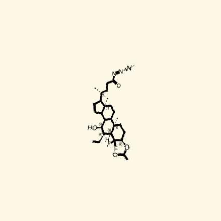 CC[C@@H]1[C@@H]2C(F)(F)[C@H](OC(C)=O)CC[C@]2(C)C2CC[C@@]3(C)C(CCC3[C@H](C)CCC(=O)N=[N+]=[N-])C2[C@@H]1O